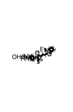 CCN1C(=CC=C2SC(=S)N(c3ccc(NNC=O)cc3)C2=O)Oc2ccccc21